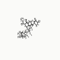 CCOC(=O)c1cn(C(CCC(C)(C)[Si](C)(C)O)C(C)(C)C)c2cc(F)c(Cc3cccc(Cl)c3F)cc2c1=O